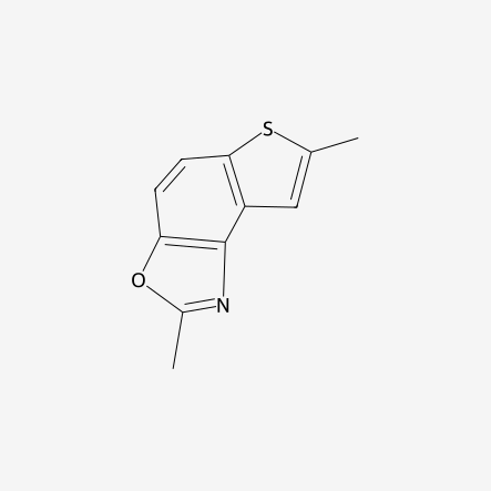 Cc1nc2c(ccc3sc(C)cc32)o1